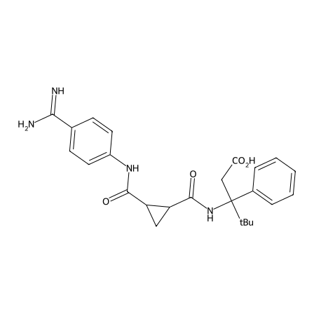 CC(C)(C)C(CC(=O)O)(NC(=O)C1CC1C(=O)Nc1ccc(C(=N)N)cc1)c1ccccc1